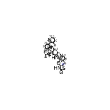 O=C1NC(=O)/C(=C\c2ccnc(NC3CCC(NCc4cccnc4-c4cccc(OC(F)(F)F)c4)CC3)n2)S1